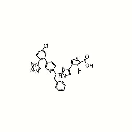 O=C(O)c1scc(-c2c[nH]c([C@@H](Cc3ccccc3)c3ccc(-c4cc(Cl)ccc4-n4cnnn4)cn3)n2)c1F